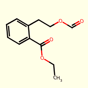 CCOC(=O)c1ccccc1CCO[C]=O